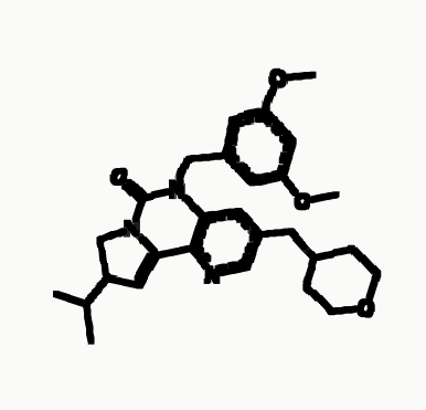 COc1cc(CN2C(=O)N3CC(C(C)C)C=C3c3ncc(CC4CCOCC4)cc32)cc(OC)c1